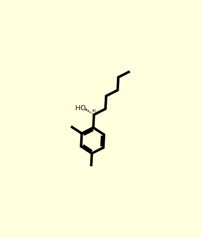 CCCCC[C@@H](O)c1ccc(C)cc1C